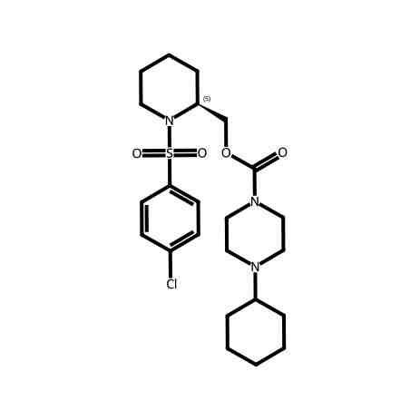 O=C(OC[C@@H]1CCCCN1S(=O)(=O)c1ccc(Cl)cc1)N1CCN(C2CCCCC2)CC1